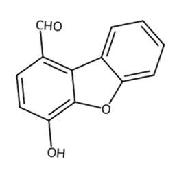 O=Cc1ccc(O)c2oc3ccccc3c12